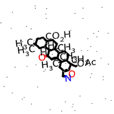 CC(=O)OC[C@]1(C)c2oncc2C[C@]2(C)C3=CC(=O)[C@@H]4[C@@H]5CC(C)(C)CC[C@]5(C(=O)O)CC[C@@]4(C)[C@]3(C)CCC21